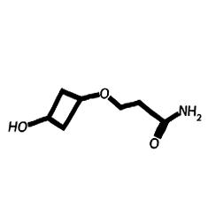 NC(=O)CCOC1CC(O)C1